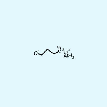 CCCC[O-].[AlH3].[Li+]